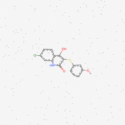 COc1cccc(Sc2c(O)c3ccc(Cl)cc3[nH]c2=O)c1